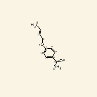 CC=CCOc1ccc(C(N)=O)cc1